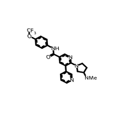 CNC1CCN(c2ncc(C(=O)Nc3ccc(OC(F)(F)F)cc3)cc2-c2cccnc2)C1